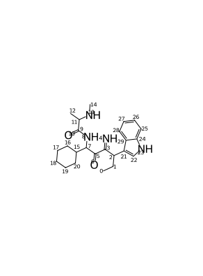 CCC(C(=N)C(=O)C(NC(=O)C(C)NC)C1CCCCC1)c1c[nH]c2ccccc12